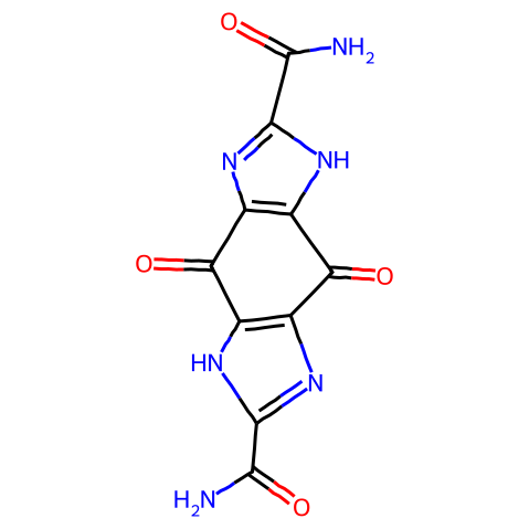 NC(=O)c1nc2c([nH]1)C(=O)c1nc(C(N)=O)[nH]c1C2=O